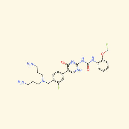 NCCCN(CCCN)Cc1ccc(-c2c[nH]c(NC(=O)Nc3ccccc3OCF)nc2=O)cc1F